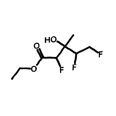 CCOC(=O)C(F)C(C)(O)C(F)CF